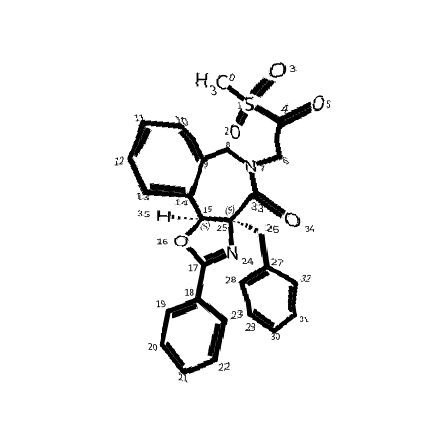 CS(=O)(=O)C(=O)CN1Cc2ccccc2[C@@H]2OC(c3ccccc3)=N[C@]2(Cc2ccccc2)C1=O